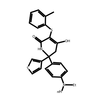 CCCN(CC)c1ccc(C2(c3ccsc3)CC(O)=C(Sc3ccccc3C)C(=O)N2)cc1